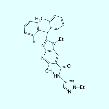 CCn1cc(NC(=O)c2cc3c(nc2C)nc(C(c2ccccc2C)c2ccccc2F)n3CC)cn1